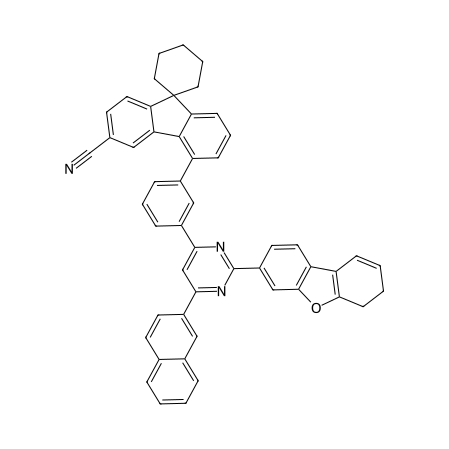 N#Cc1ccc2c(c1)-c1c(-c3cccc(-c4cc(-c5ccc6ccccc6c5)nc(-c5ccc6c7c(oc6c5)CCC=C7)n4)c3)cccc1C21CCCCC1